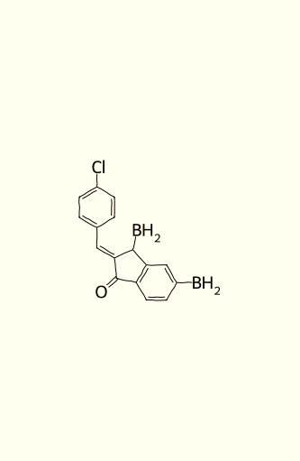 Bc1ccc2c(c1)C(B)/C(=C\c1ccc(Cl)cc1)C2=O